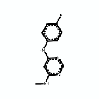 CNc1cc(Nc2ccc(F)cc2)ncn1